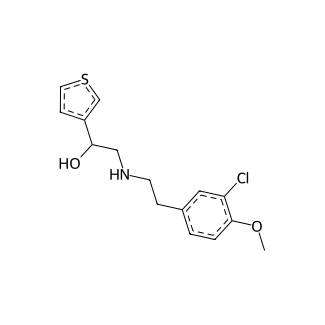 COc1ccc(CCNCC(O)c2ccsc2)cc1Cl